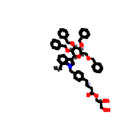 Cc1cccc2c([C@@H]3O[C@H](COCc4ccccc4)[C@@H](OCc4ccccc4)[C@H](OCc4ccccc4)[C@H]3OCc3ccccc3)cn(Cc3ccc(/C=C/CC(=O)OC[C@H](O)CO)cc3)c12